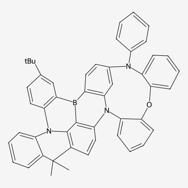 CC(C)(C)c1ccc2c(c1)B1c3ccc4cc3N(c3ccccc3Oc3ccccc3N4c3ccccc3)c3ccc4c(c31)N2c1ccccc1C4(C)C